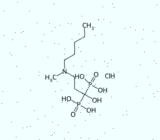 CCCCCN(C)CCC(O)(P(=O)(O)O)P(=O)(O)O.Cl